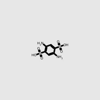 Nc1cc(S(=O)(=O)O)c(N)cc1S(=O)(=O)O